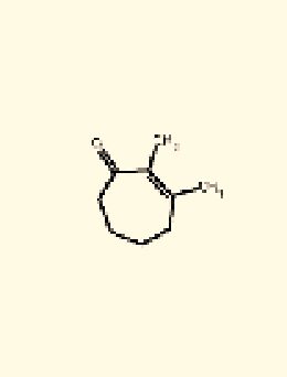 CC1=C(C)C(=O)CCCC1